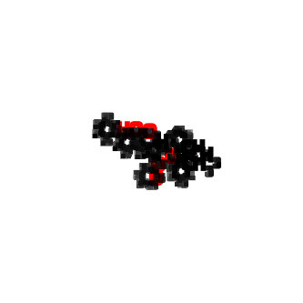 CC(C)(C)[Si](OC[C@@H]1[C@H]2COC(O)C[C@]2(Cc2ccc(-c3ccccc3)cc2)C[C@H]1OC1CCCCO1)(c1ccccc1)c1ccccc1